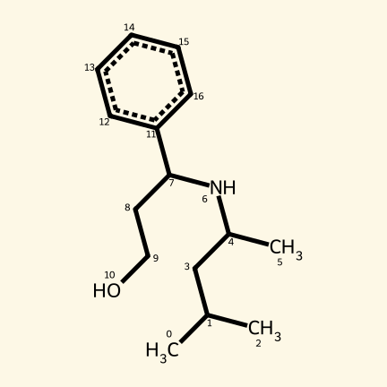 CC(C)CC(C)NC(CCO)c1ccccc1